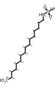 CC(C)S(=O)(=O)NCCCCCCCCCCCCCCCC(=O)O